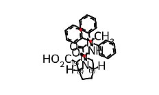 CC(NC(=O)N1[C@H]2CC[C@@H]1[C@@H](C(=O)O)N(C(=O)N(c1ccccc1)c1ccccc1)C2)c1ccccc1